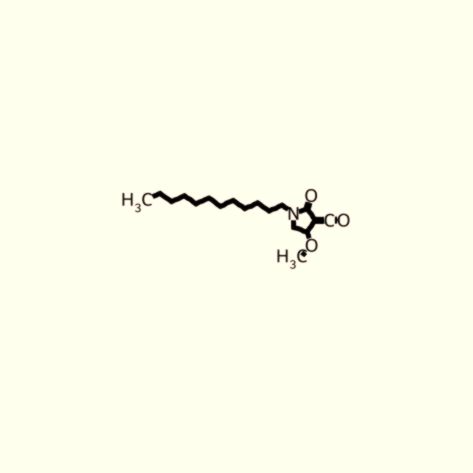 CCCCCCCCCCCCN1CC(OC)C(=C=O)C1=O